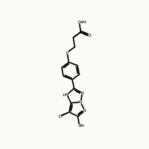 COC(=O)CCOc1ccc(-c2nn3nc(C(C)(C)C)c(Cl)c3[nH]2)cc1